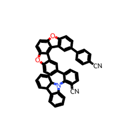 N#Cc1ccc(-c2ccc3oc4ccc5oc6ccc(-c7cccc(C#N)c7N7c8ccccc8C8C=CC=CC87)cc6c5c4c3c2)cc1